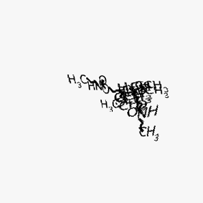 CCCCNC(=O)OCCC[Si](C)(O[Si](C)(C)C)O[Si](C)(CCCOC(=O)NCCCC)O[Si](C)(C)C